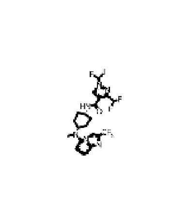 CN(c1cccc2nc(C(F)(F)F)cn12)[C@H]1CC[C@@H](NC(=O)c2cn(C(F)F)nc2C(F)F)CC1